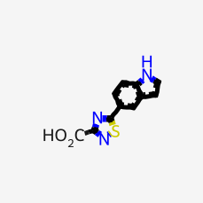 O=C(O)c1nsc(-c2ccc3[nH]ccc3c2)n1